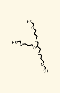 SCOCCCOCC(COCCCOCS)OCCCOCS